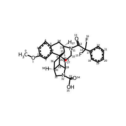 COc1ccc2c(c1)[C@]13CCN(C(=O)C(F)(F)c4ccccc4)[C@H](C2)[C@]12CCC1C3[C@@H](CN1C(=O)O)C2